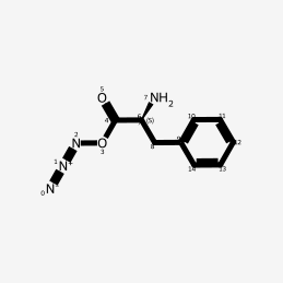 [N-]=[N+]=NOC(=O)[C@@H](N)Cc1ccccc1